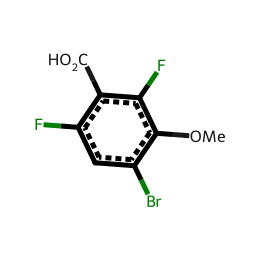 COc1c(Br)cc(F)c(C(=O)O)c1F